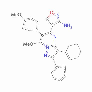 COc1ccc(-c2c(-c3conc3N)nc3c(C4=CCCCC4)c(-c4ccccc4)nn3c2OC)cc1